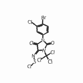 O=C1C(=NSCl)N(C(Cl)(Cl)Cl)C(=O)N1c1ccc(Br)c(Cl)c1